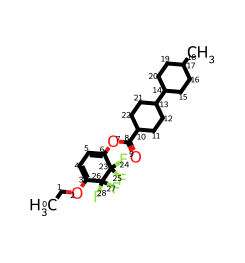 CCOC1=CC=C(OC(=O)C2CCC(C3CCC(C)CC3)CC2)C(F)(F)C1(F)F